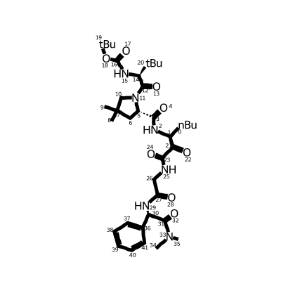 CCCCC(NC(=O)[C@@H]1CC(C)(C)CN1C(=O)[C@@H](NC(=O)OC(C)(C)C)C(C)(C)C)C(=O)C(=O)NCC(=O)N[C@H](C(=O)N(C)C)c1ccccc1